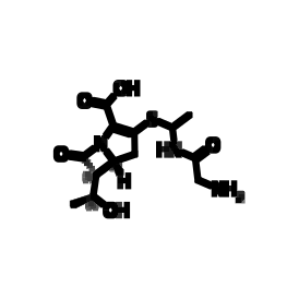 CC(NC(=O)CN)SC1=C(C(=O)O)N2C(=O)[C@@H]([C@H](C)O)[C@H]2C1